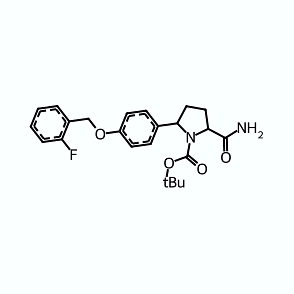 CC(C)(C)OC(=O)N1C(C(N)=O)CCC1c1ccc(OCc2ccccc2F)cc1